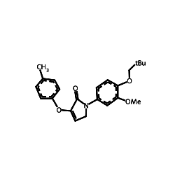 COc1cc(N2CC=C(Oc3ccc(C)cc3)C2=O)ccc1OCC(C)(C)C